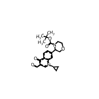 CC(C)(C)OC(=O)N1CCOCC1c1ccc2c(=O)c(C=O)cn(C3CC3)c2c1